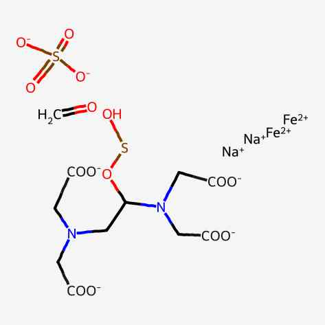 C=O.O=C([O-])CN(CC(=O)[O-])CC(OSO)N(CC(=O)[O-])CC(=O)[O-].O=S(=O)([O-])[O-].[Fe+2].[Fe+2].[Na+].[Na+]